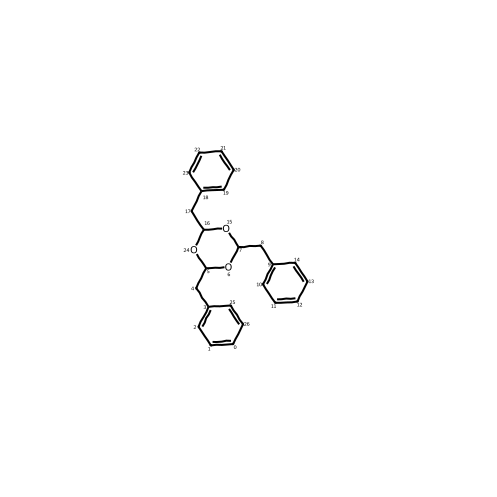 c1ccc(CC2OC(Cc3ccccc3)OC(Cc3ccccc3)O2)cc1